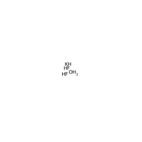 F.F.O.[KH]